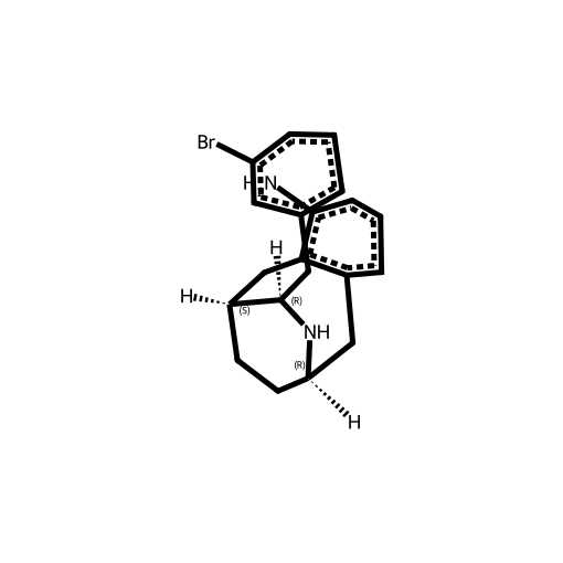 Nc1cccc2c1C[C@@H]1CC[C@H](C2)N[C@@H]1Cc1cccc(Br)c1